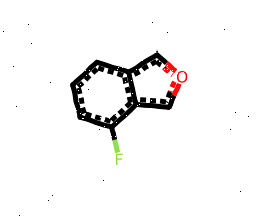 Fc1cccc2[c]occ12